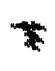 CCc1ccc(C(=O)NC(=O)C(CCCCNC(=O)C(N)CSSC)NC(=O)CCCC(=O)NC(CCCCNC(=O)C(N)CSSC)C(=O)NC(=O)c2ccc(CC)cc2)cc1